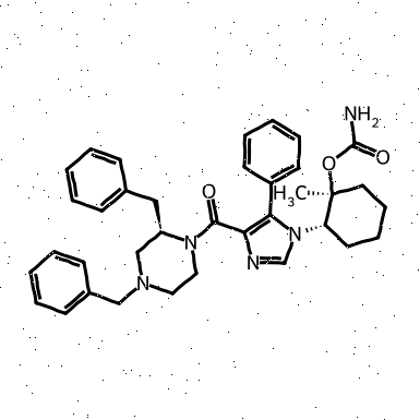 C[C@]1(OC(N)=O)CCCC[C@@H]1n1cnc(C(=O)N2CCN(Cc3ccccc3)C[C@H]2Cc2ccccc2)c1-c1ccccc1